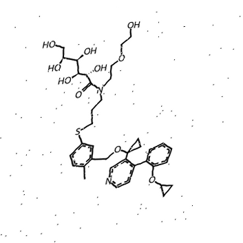 Cc1ccc(SCCCN(CCOCCO)C(=O)[C@@H](O)[C@@H](O)[C@H](O)[C@@H](O)CO)cc1COC1(c2cnccc2-c2ccccc2OC2CC2)CC1